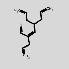 C=CCC(C=O)=CC(CC=C)CC=C